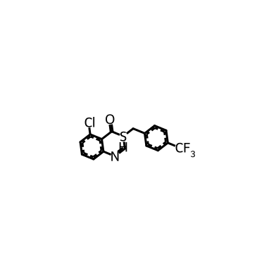 O=C1c2c(Cl)cccc2N=C[SH]1Cc1ccc(C(F)(F)F)cc1